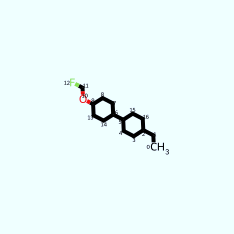 CCC1CCC(C2CCC(OCF)CC2)CC1